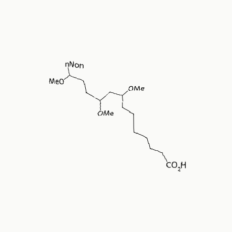 CCCCCCCCCC(CCC(CC(CCCCCCC(=O)O)OC)OC)OC